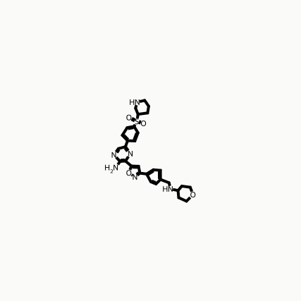 Nc1ncc(-c2ccc(S(=O)(=O)C3CCCNC3)cc2)nc1-c1cc(-c2ccc(CNC3CCOCC3)cc2)no1